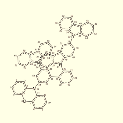 c1ccc2c(c1)Oc1ccccc1N2c1cc(-c2ccccc2-n2c3ccccc3c3cc(-n4c5ccccc5c5ccccc54)ccc32)cc(-n2c3ccccc3c3ccccc32)c1